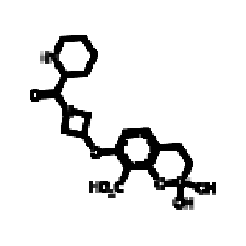 O=C(O)c1c(OC2CN(C(=O)C3CCCCN3)C2)ccc2c1O[B-](O)(O)CC2